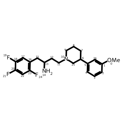 COc1cccc(C2CCCN(CCC(N)Cc3cc(F)c(F)cc3F)C2)c1